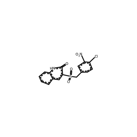 O=c1[nH]c2ccccc2cc1S(=O)(=O)Cc1ccc(Cl)c([N+](=O)[O-])c1